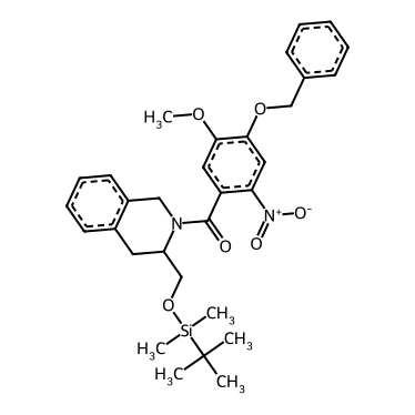 COc1cc(C(=O)N2Cc3ccccc3CC2CO[Si](C)(C)C(C)(C)C)c([N+](=O)[O-])cc1OCc1ccccc1